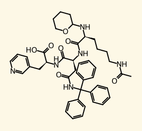 CC(=O)NCCCC[C@H](NC1CCCCO1)C(=O)N[C@@H](CC(=O)NC(c1ccccc1)(c1ccccc1)c1ccccc1)C(=O)N[C@@H](Cc1cccnc1)C(=O)O